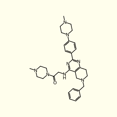 CN1CCN(C(=O)CNc2nc(-c3ccc(N4CCN(C)CC4)cc3)nc3c2CN(Cc2ccccc2)CC3)CC1